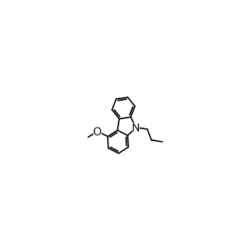 CCCn1c2ccccc2c2c(OC)cccc21